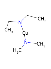 CC[N](CC)[Cu][N](C)C